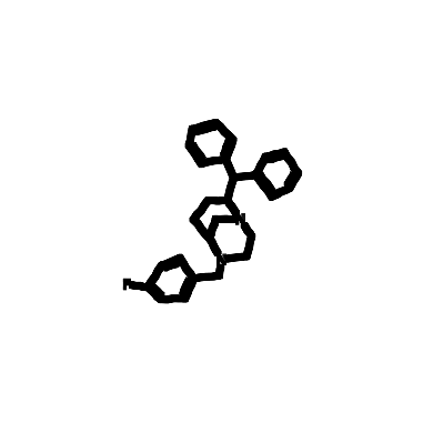 Fc1ccc(CN2CCN3CC2CCC3C(c2ccccc2)c2ccccc2)cc1